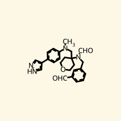 CN(CC1(N(C=O)Cc2cccc(C=O)c2)CCOCC1)c1ccc(-c2cn[nH]c2)cc1